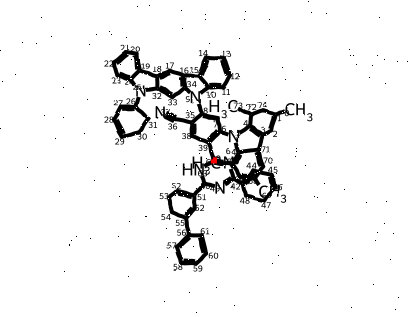 CC1=Cc2c(n(-c3cc(-n4c5ccccc5c5cc6c7ccccc7n(C7=CC=CCC7)c6cc54)c(C#N)cc3C3=NC(C4=CC=CCC4)=NC(C4=CCCC(c5ccccc5)=C4)N3)c3c(C)cc(C)cc23)C(C)C1